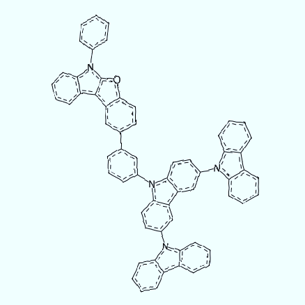 c1ccc(-n2c3ccccc3c3c4cc(-c5cccc(-n6c7ccc(-n8c9ccccc9c9ccccc98)cc7c7cc(-n8c9ccccc9c9ccccc98)ccc76)c5)ccc4oc32)cc1